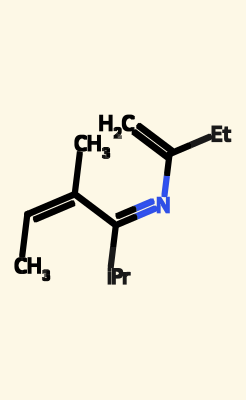 C=C(CC)/N=C(\C(C)=C/C)C(C)C